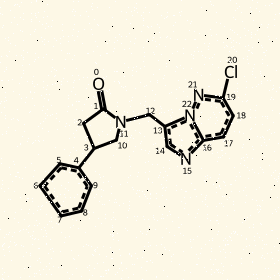 O=C1CC(c2ccccc2)CN1Cc1cnc2ccc(Cl)nn12